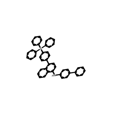 c1ccc(-c2ccc(Nc3ccc(-c4ccc([Si](c5ccccc5)(c5ccccc5)c5ccccc5)cc4)c4ccccc34)cc2)cc1